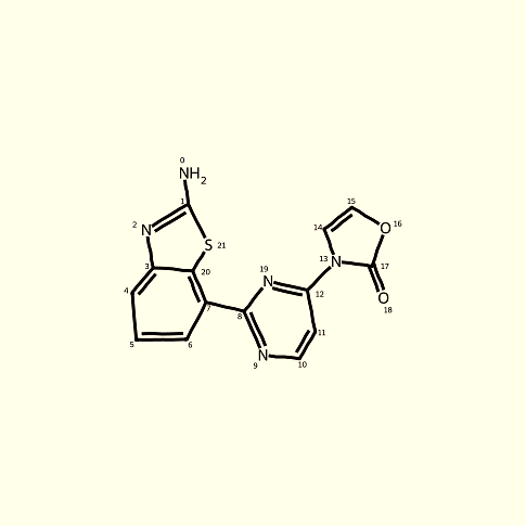 Nc1nc2cccc(-c3nccc(-n4ccoc4=O)n3)c2s1